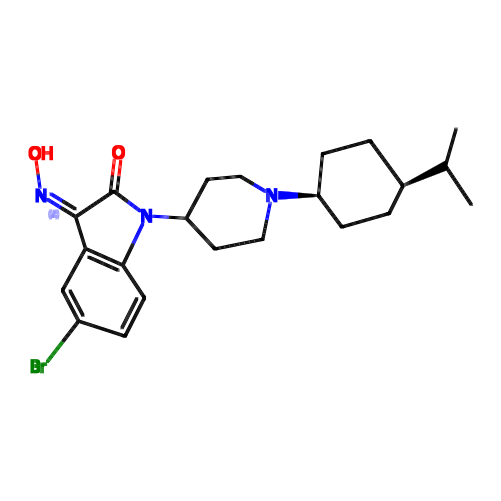 CC(C)[C@H]1CC[C@@H](N2CCC(N3C(=O)/C(=N\O)c4cc(Br)ccc43)CC2)CC1